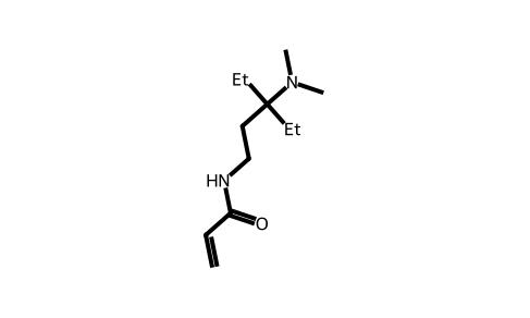 C=CC(=O)NCCC(CC)(CC)N(C)C